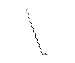 CCCCCCCCCCOCOCCC=CCCCCCCCCCCCl